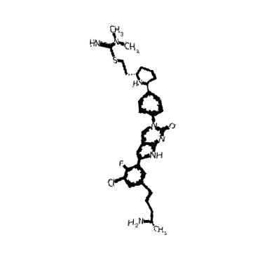 C[C@H](N)CCCc1cc(Cl)c(F)c(-c2cc3cn(-c4ccc([C@@H]5CCC[C@@H](CCSC(=N)N(C)C)N5)cc4)c(=O)nc3[nH]2)c1